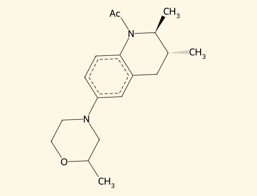 CC(=O)N1c2ccc(N3CCOC(C)C3)cc2C[C@@H](C)[C@@H]1C